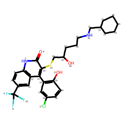 O=c1[nH]c2ccc(C(F)(F)F)cc2c(-c2cc(Cl)ccc2O)c1SCC(O)CCCNCC1CCCCC1